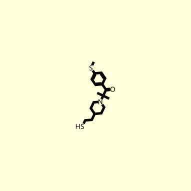 CSc1ccc(C(=O)C(C)(C)N2CCC(CCS)CC2)cc1